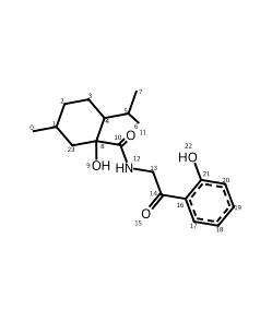 CC1CCC(C(C)C)C(O)(C(=O)NCC(=O)c2ccccc2O)C1